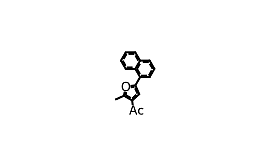 CC(=O)c1cc(-c2cccc3ccccc23)oc1C